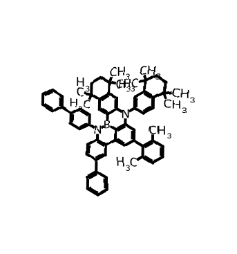 Cc1cccc(C)c1-c1cc2c3c(c1)N(c1ccc4c(c1)C(C)(C)CCC4(C)C)c1cc4c(cc1B3N(c1ccc(-c3ccccc3)cc1)c1ccc(-c3ccccc3)cc1-2)C(C)(C)CCC4(C)C